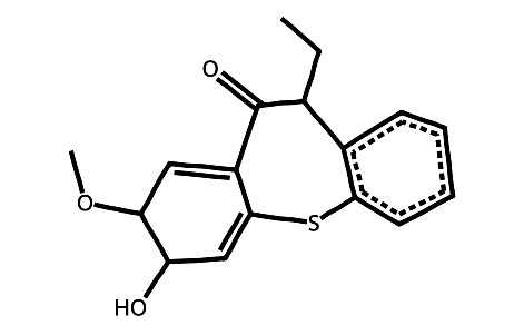 CCC1C(=O)C2=CC(OC)C(O)C=C2Sc2ccccc21